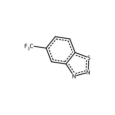 FC(F)(F)c1ccc2snnc2c1